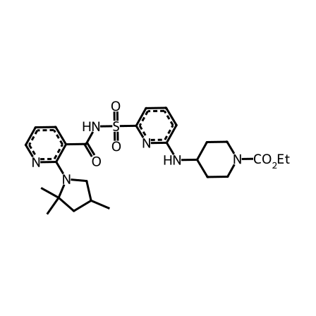 CCOC(=O)N1CCC(Nc2cccc(S(=O)(=O)NC(=O)c3cccnc3N3CC(C)CC3(C)C)n2)CC1